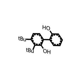 CC(C)(C)c1ccc(-c2ccccc2O)c(O)c1C(C)(C)C